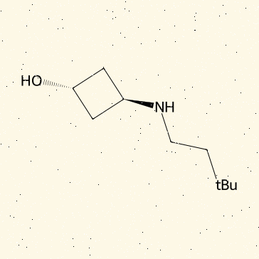 CC(C)(C)CCN[C@H]1C[C@H](O)C1